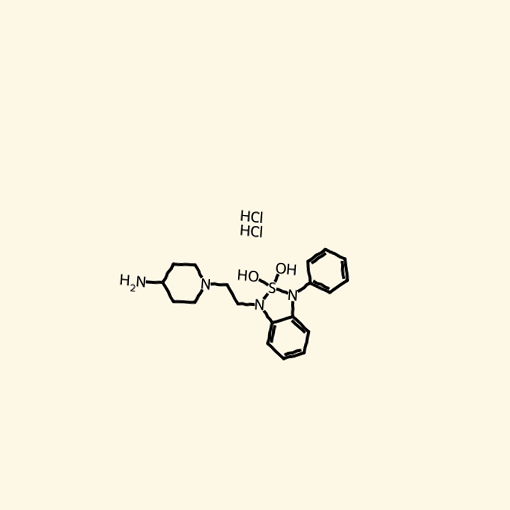 Cl.Cl.NC1CCN(CCN2c3ccccc3N(c3ccccc3)S2(O)O)CC1